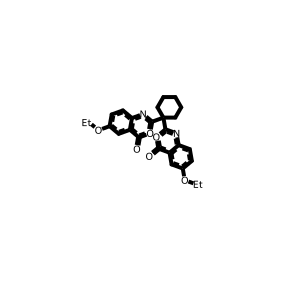 CCOc1ccc2nc(C3(c4nc5ccc(OCC)cc5c(=O)o4)CCCCC3)oc(=O)c2c1